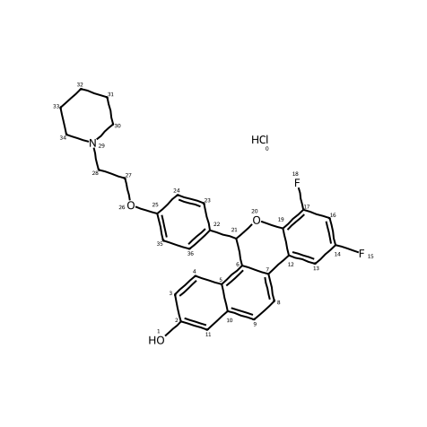 Cl.Oc1ccc2c3c(ccc2c1)-c1cc(F)cc(F)c1OC3c1ccc(OCCN2CCCCC2)cc1